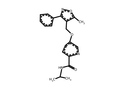 Cc1onc(-c2ccccc2)c1COc1ccc(C(=O)NC(C)C)nc1